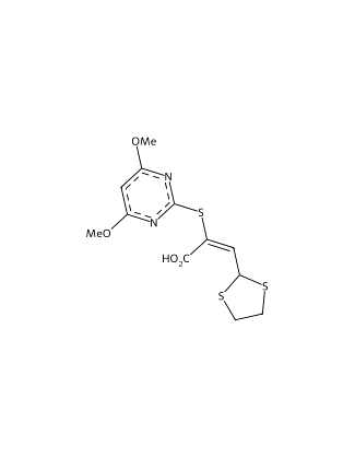 COc1cc(OC)nc(S/C(=C/C2SCCS2)C(=O)O)n1